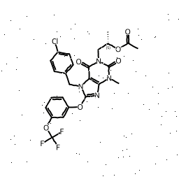 CC(=O)O[C@@H](C)Cn1c(=O)c2c(nc(Oc3cccc(OC(F)(F)F)c3)n2Cc2ccc(Cl)cc2)n(C)c1=O